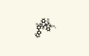 COc1ccccc1C1[C@@H](C(=O)O)[C@@H](c2ccccc2OC)[C@@H]1C(=O)Oc1cccc(-c2ccc3c(c2)OCCO3)c1